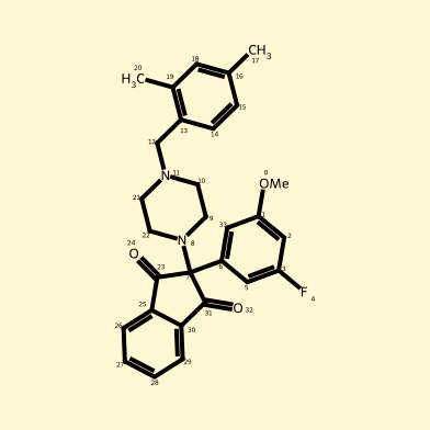 COc1cc(F)cc(C2(N3CCN(Cc4ccc(C)cc4C)CC3)C(=O)c3ccccc3C2=O)c1